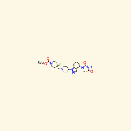 CC(C)(C)OC(=O)N1CCC(F)(CN2CCC(n3ncc4c(N5CCC(=O)NC5=O)cccc43)CC2)CC1